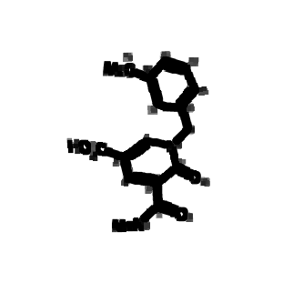 CNC(=O)c1cc(C(=O)O)cn(Cc2cccc(OC)c2)c1=O